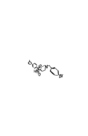 COc1ccc(S(=O)(=O)C2(C(=O)O)CCN(Cc3ccc(Br)cc3)CC2)cc1